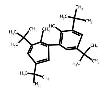 Cc1c(-c2cc(C(C)(C)C)cc(C(C)(C)C)c2O)cc(C(C)(C)C)cc1C(C)(C)C